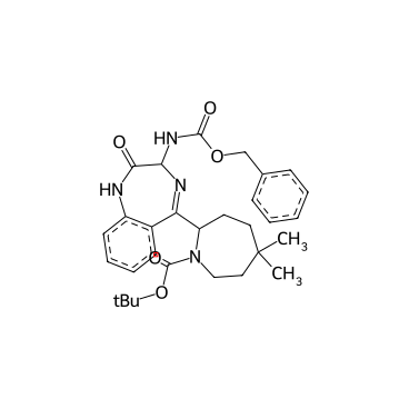 CC1(C)CCC(C2=NC(NC(=O)OCc3ccccc3)C(=O)Nc3ccccc32)N(C(=O)OC(C)(C)C)CC1